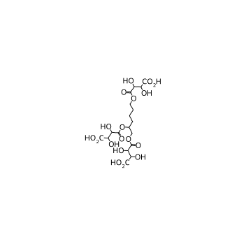 O=C(O)C(O)C(O)C(=O)OCCCCC(COC(=O)C(O)C(O)C(=O)O)OC(=O)C(O)C(O)C(=O)O